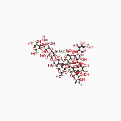 CC(=O)N[C@H]1[C@H](OC[C@H]2O[C@@H](O[C@H]3[C@H](O)[C@@H](NC(C)=O)[C@H](O[C@H]4[C@@H](O)[C@@H](CO)O[C@@H](O[C@H]5[C@H](O)[C@@H](O)[C@H](O)O[C@@H]5CO)[C@@H]4O)O[C@@H]3CO)[C@H](O)[C@@H](O[C@@H]3O[C@H](CO)[C@@H](O[C@@H]4O[C@H](CO)[C@H](O)[C@H](O[C@H]5O[C@H](CO)[C@H](O)[C@H](O)[C@H]5O)[C@H]4O[C@@H]4O[C@@H](C)[C@@H](O)[C@@H](O)[C@@H]4O)[C@H](O)[C@H]3NC(C)=O)[C@H]2O)O[C@H](CO)[C@@H](O[C@@H]2O[C@H](CO)[C@H](O)[C@H](O[C@H]3O[C@H](CO)[C@H](O)[C@H](O)[C@H]3O)[C@H]2O)[C@@H]1O